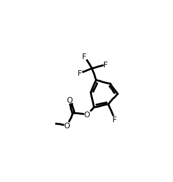 COC(=O)Oc1cc(C(F)(F)F)ccc1F